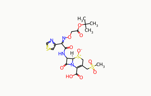 CC(C)(C)OC(=O)CO/N=C(\C(=O)NC1C(=O)N2C(C(=O)O)=C(CS(C)(=O)=O)C[S+]([O-])[C@H]12)c1cscn1